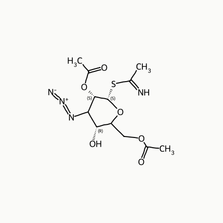 CC(=N)S[C@@H]1OC(COC(C)=O)[C@H](O)C(N=[N+]=[N-])[C@@H]1OC(C)=O